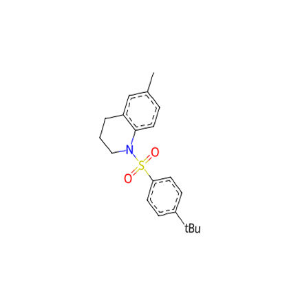 Cc1ccc2c(c1)CCCN2S(=O)(=O)c1ccc(C(C)(C)C)cc1